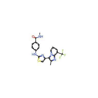 CNC(=O)c1ccc(Nc2nc(-c3c(C)nc4c(C(F)(F)F)cccn34)cs2)cc1